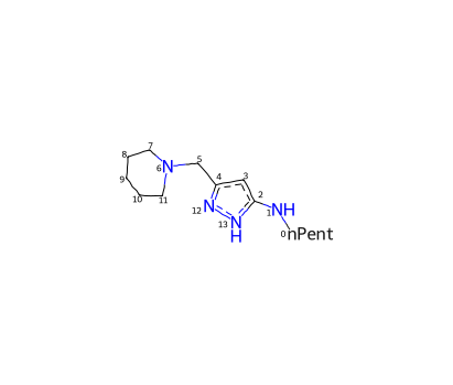 CCCCCNc1cc(CN2CCCCC2)n[nH]1